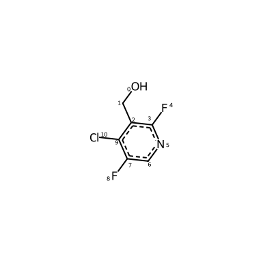 OCc1c(F)ncc(F)c1Cl